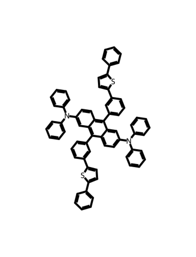 c1ccc(-c2ccc(-c3cccc(-c4c5ccc(N(c6ccccc6)c6ccccc6)cc5c(-c5cccc(-c6ccc(-c7ccccc7)s6)c5)c5ccc(N(c6ccccc6)c6ccccc6)cc45)c3)s2)cc1